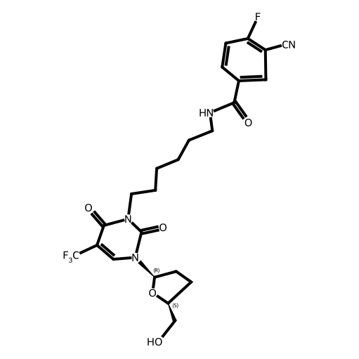 N#Cc1cc(C(=O)NCCCCCCn2c(=O)c(C(F)(F)F)cn([C@H]3CC[C@@H](CO)O3)c2=O)ccc1F